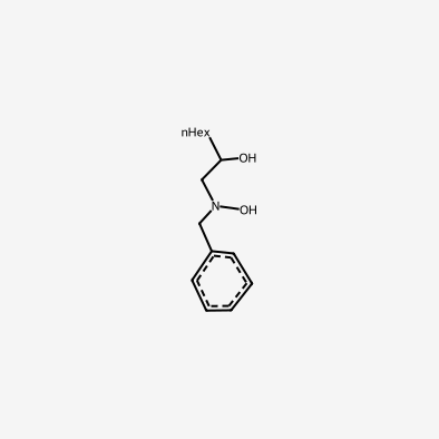 CCCCCCC(O)CN(O)Cc1ccccc1